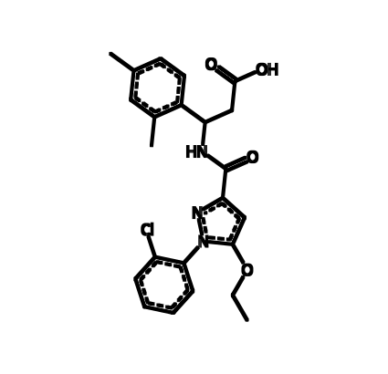 CCOc1cc(C(=O)NC(CC(=O)O)c2ccc(C)cc2C)nn1-c1ccccc1Cl